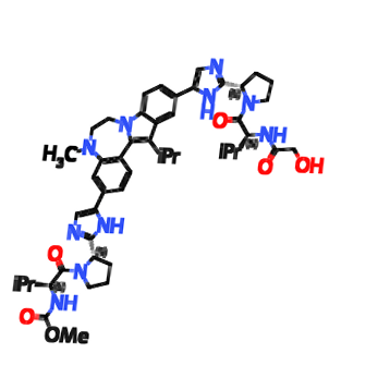 COC(=O)N[C@H](C(=O)N1CCC[C@H]1c1ncc(-c2ccc3c(c2)N(C)CCn2c-3c(C(C)C)c3cc(-c4cnc([C@@H]5CCCN5C(=O)[C@@H](NC(=O)CO)C(C)C)[nH]4)ccc32)[nH]1)C(C)C